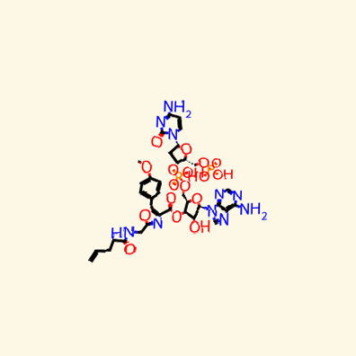 C=CCCC(=O)NCc1nc(C(=O)OC2[C@@H](COP(=O)(O)O[C@@H]3C[C@H](n4ccc(N)nc4=O)O[C@@H]3COP(=O)(O)O)O[C@@H](n3cnc4c(N)ncnc43)[C@H]2O)c(-c2ccc(OC)cc2)o1